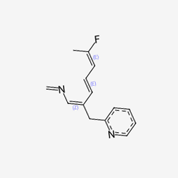 C=N\C=C(/C=C/C=C(\C)F)Cc1ccccn1